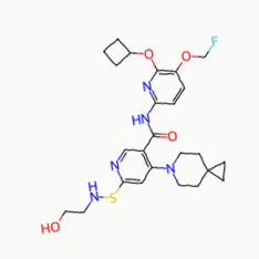 O=C(Nc1ccc(OCF)c(OC2CCC2)n1)c1cnc(SNCCO)cc1N1CCC2(CC1)CC2